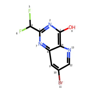 Oc1nc(C(F)F)nc2cc(Br)cnc12